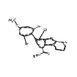 COc1cc(Br)c(-c2cc(C(=O)O)c3c(nc4n3CCCN4)c2Cl)c(Br)c1